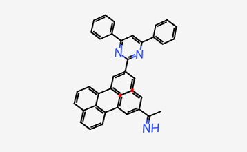 CC(=N)c1cccc(-c2cccc3cccc(-c4cccc(-c5nc(-c6ccccc6)cc(-c6ccccc6)n5)c4)c23)c1